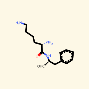 NCCCC[C@H](N)C(=O)N[C@H]([C]=O)Cc1ccccc1